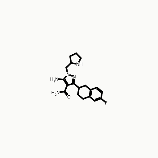 NC(=O)c1c(C2CCc3cc(F)ccc3C2)nn(CC2CCCN2)c1N